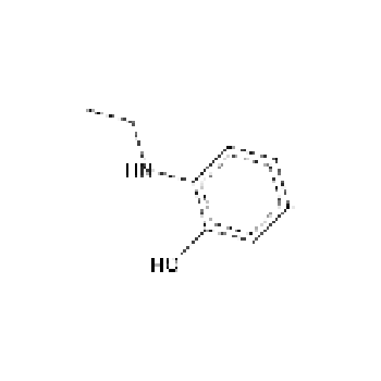 CCNc1cc[c]cc1O